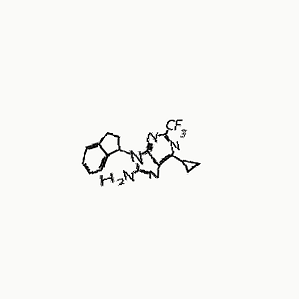 Nc1nc2c(C3CC3)nc(C(F)(F)F)nc2n1C1CCc2ccccc21